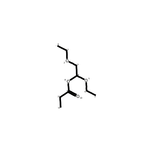 [CH2]COCC(OCC)OC(=O)CC